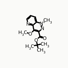 COc1c(C(=O)OC(C)(C)C)n[n+](C)c2cccnc12